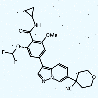 COc1cc(-c2cnn3cc(C4(C#N)CCOCC4)ccc23)cc(OC(F)F)c1C(=O)NC1CC1